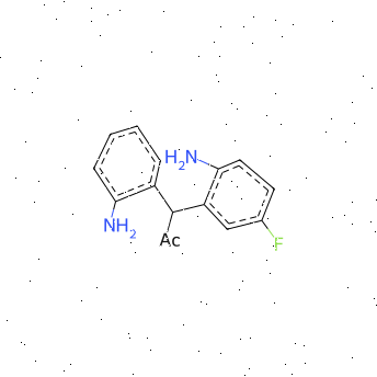 CC(=O)C(c1ccccc1N)c1cc(F)ccc1N